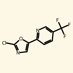 FC(F)(F)c1ccc(-c2cnc(Cl)o2)nc1